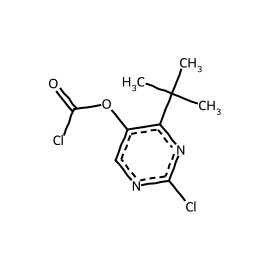 CC(C)(C)c1nc(Cl)ncc1OC(=O)Cl